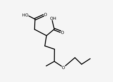 CCCOC(C)CCC(CC(=O)O)C(=O)O